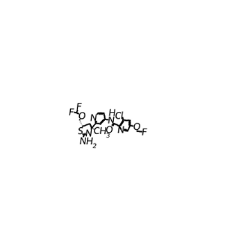 C[C@@]1(c2cc(NC(=O)c3ncc(OCF)cc3Cl)ccn2)C[C@@H](COC(F)F)SC(N)=N1